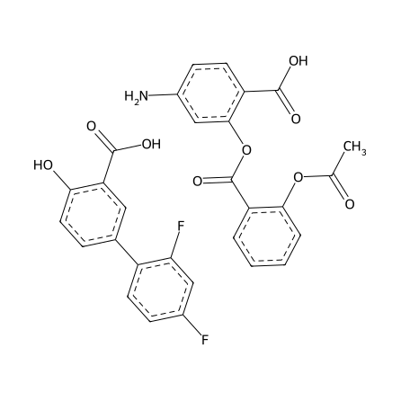 CC(=O)Oc1ccccc1C(=O)Oc1cc(N)ccc1C(=O)O.O=C(O)c1cc(-c2ccc(F)cc2F)ccc1O